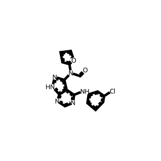 O=CN(c1ccco1)c1n[nH]c2ncnc(Nc3cccc(Cl)c3)c12